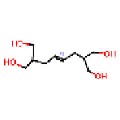 OCC(CO)C/C=C/CC(CO)CO